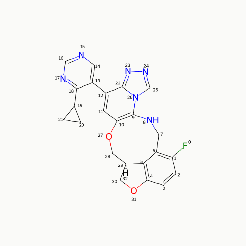 Fc1ccc2c3c1CNc1c(cc(-c4cncnc4C4CC4)c4nncn14)OC[C@@H]3CO2